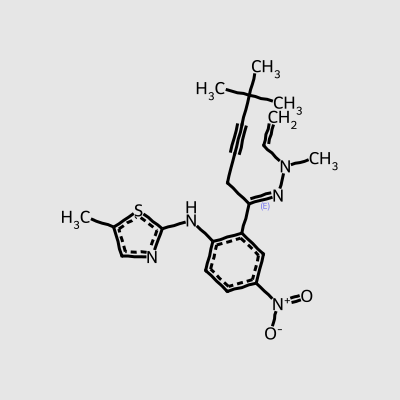 C=CN(C)/N=C(\CC#CC(C)(C)C)c1cc([N+](=O)[O-])ccc1Nc1ncc(C)s1